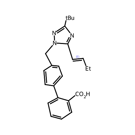 CC/C=C/c1nc(C(C)(C)C)nn1Cc1ccc(-c2ccccc2C(=O)O)cc1